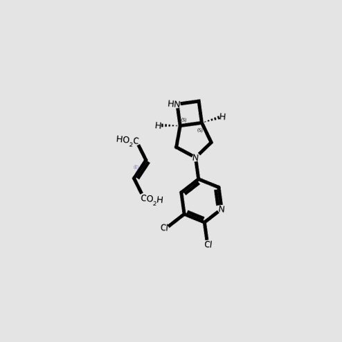 Clc1cc(N2C[C@@H]3CN[C@@H]3C2)cnc1Cl.O=C(O)/C=C/C(=O)O